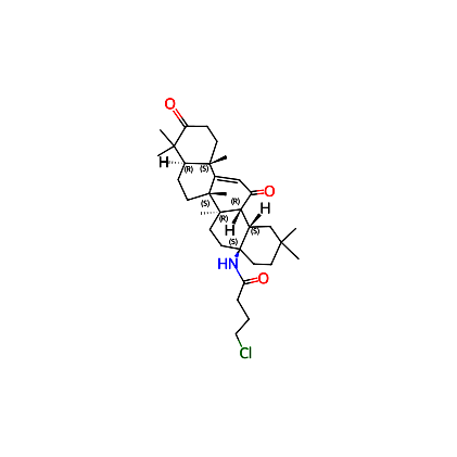 CC1(C)CC[C@]2(NC(=O)CCCCl)CC[C@]3(C)[C@H](C(=O)C=C4[C@@]5(C)CCC(=O)C(C)(C)[C@@H]5CC[C@]43C)[C@@H]2C1